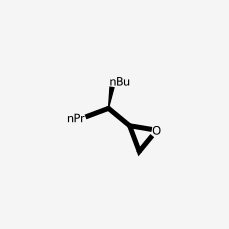 CCCC[C@H](CCC)C1CO1